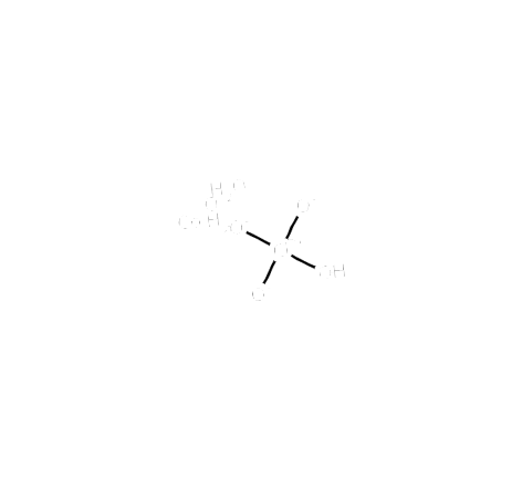 O.O.[Co].[O-][Cl+3]([O-])([O-])O